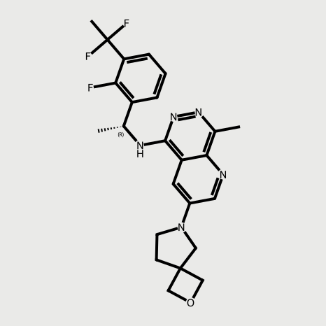 Cc1nnc(N[C@H](C)c2cccc(C(C)(F)F)c2F)c2cc(N3CCC4(COC4)C3)cnc12